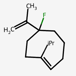 C=C(C)C1(F)CCC/C=C(\C(C)C)CC1